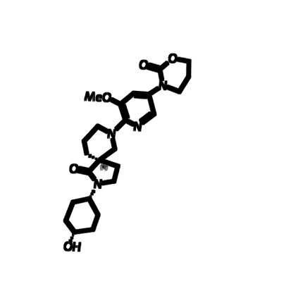 COc1cc(N2CCCOC2=O)cnc1N1CCC[C@@]2(CCN([C@H]3CC[C@@H](O)CC3)C2=O)C1